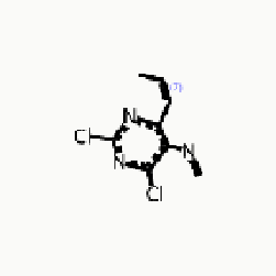 C=Nc1c(Cl)nc(Cl)nc1/C=C\C